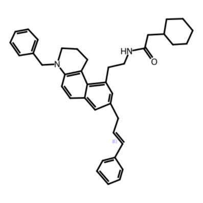 O=C(CC1CCCCC1)NCCc1cc(C/C=C/c2ccccc2)cc2ccc3c(c12)CCCN3Cc1ccccc1